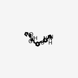 O=C(CCc1cccc(COc2ccc(-c3ccn[nH]3)nc2)c1)NCC(=O)N1CCCC1